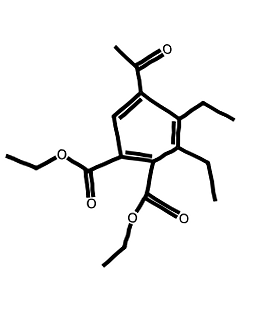 CCOC(=O)c1cc(C(C)=O)c(CC)c(CC)c1C(=O)OCC